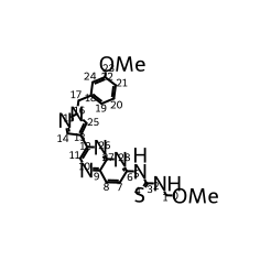 COCNC(=S)Nc1ccc2ncc(-c3cnn(Cc4cccc(OC)c4)c3)nc2n1